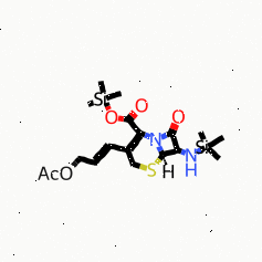 CC(=O)OC/C=C/C1=C(C(=O)O[Si](C)(C)C)N2C(=O)C(N[Si](C)(C)C)[C@H]2SC1